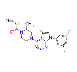 CC1CN(c2ncnc3c2c(I)cn3-c2cc(F)cc(F)c2)CCN1C(=O)OC(C)(C)C